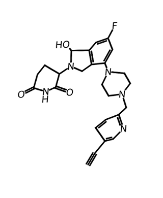 C#Cc1ccc(CN2CCN(c3cc(F)cc4c3CN(C3CCC(=O)NC3=O)C4O)CC2)nc1